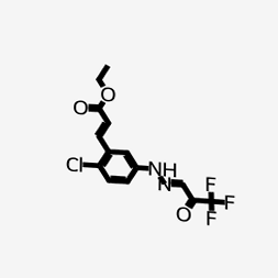 CCOC(=O)/C=C/c1cc(NN=CC(=O)C(F)(F)F)ccc1Cl